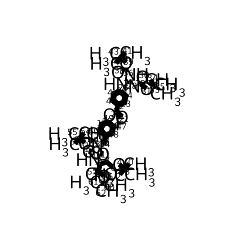 CC(C)(C)OC(=O)CC(NS(=O)(=O)N(Cc1ccc(OC(=O)c2ccc(NC(=NC(=O)OC(C)(C)C)NC(=O)OC(C)(C)C)cc2)c(F)c1)C(=O)OC(C)(C)C)C(=O)OC(C)(C)C